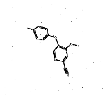 COc1cc(C#N)ncc1Oc1ccc(C)cc1